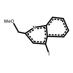 COCc1cc(I)c2ccccc2n1